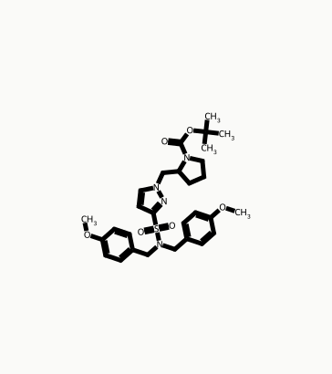 COc1ccc(CN(Cc2ccc(OC)cc2)S(=O)(=O)c2ccn(CC3CCCN3C(=O)OC(C)(C)C)n2)cc1